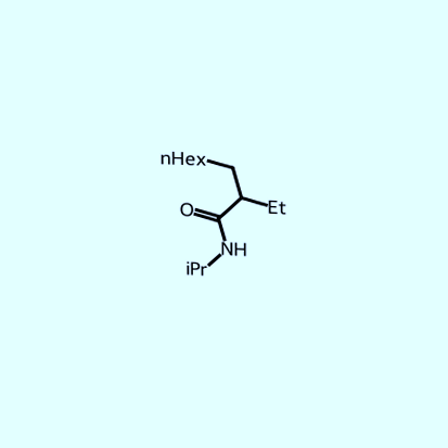 CCCCCCCC(CC)C(=O)NC(C)C